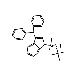 CC(C)(C)N[Si](C)(C)C1C=C(P(c2ccccc2)c2ccccc2)c2ccccc21